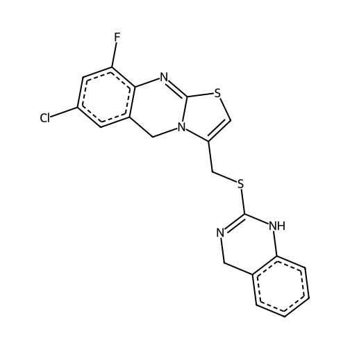 Fc1cc(Cl)cc2c1N=C1SC=C(CSC3=NCc4ccccc4N3)N1C2